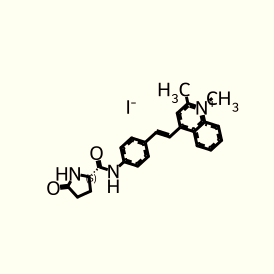 Cc1cc(C=Cc2ccc(NC(=O)[C@@H]3CCC(=O)N3)cc2)c2ccccc2[n+]1C.[I-]